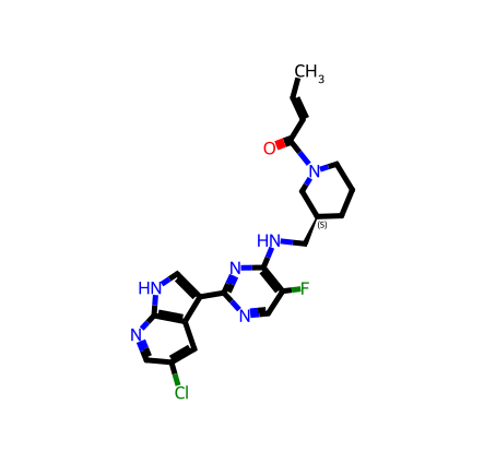 CC=CC(=O)N1CCC[C@@H](CNc2nc(-c3c[nH]c4ncc(Cl)cc34)ncc2F)C1